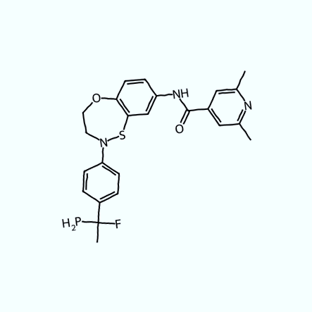 Cc1cc(C(=O)Nc2ccc3c(c2)SN(c2ccc(C(C)(F)P)cc2)CCO3)cc(C)n1